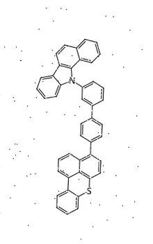 c1cc(-c2ccc(-c3ccc4c5c(cccc35)-c3ccccc3S4)cc2)cc(-n2c3ccccc3c3ccc4ccccc4c32)c1